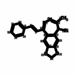 CCC1C(C)=NN=C(C=Cc2ccccc2)c2cc3c(cc21)OCO3